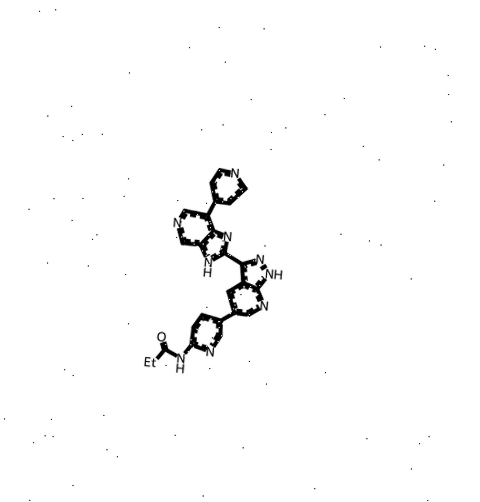 CCC(=O)Nc1ccc(-c2cnc3[nH]nc(-c4nc5c(-c6ccncc6)cncc5[nH]4)c3c2)cn1